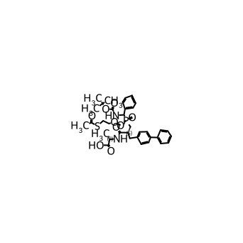 CC(=O)SCCOOP(=O)(C[C@@H](Cc1ccc(-c2ccccc2)cc1)C(=O)N[C@H](C)C(=O)O)C(NC(=O)OC(C)(C)C)c1ccccc1